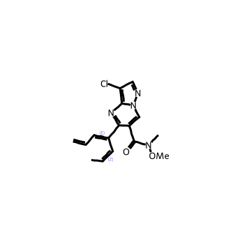 C=C/C=C(\C=C/C)c1nc2c(Cl)cnn2cc1C(=O)N(C)OC